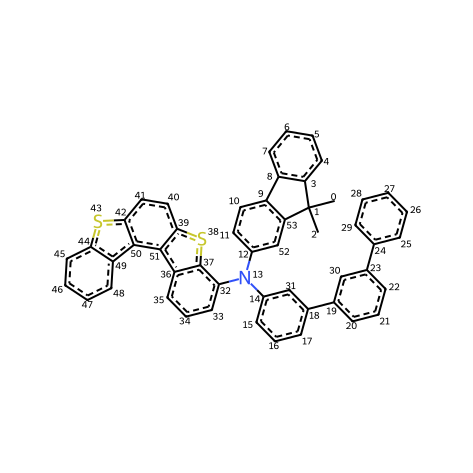 CC1(C)c2ccccc2-c2ccc(N(c3cccc(-c4cccc(-c5ccccc5)c4)c3)c3cccc4c3sc3ccc5sc6ccccc6c5c34)cc21